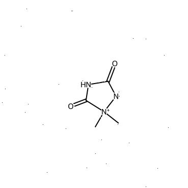 C[N+]1(C)[N]C(=O)NC1=O